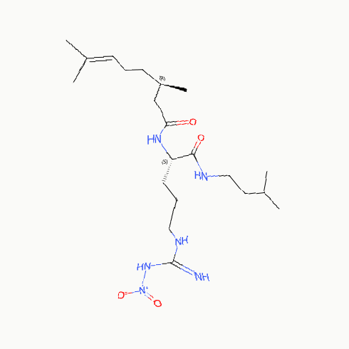 CC(C)=CCC[C@@H](C)CC(=O)N[C@@H](CCCNC(=N)N[N+](=O)[O-])C(=O)NCCC(C)C